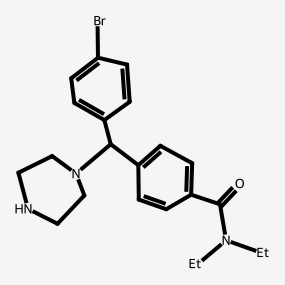 CCN(CC)C(=O)c1ccc(C(c2ccc(Br)cc2)N2CCNCC2)cc1